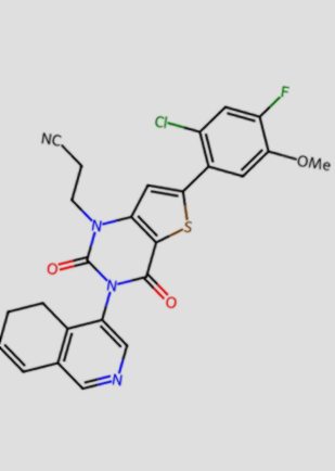 COc1cc(-c2cc3c(s2)c(=O)n(-c2cncc4c2CCC=C4)c(=O)n3CCC#N)c(Cl)cc1F